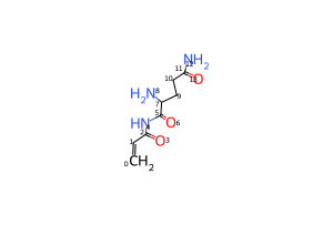 C=CC(=O)NC(=O)C(N)CCC(N)=O